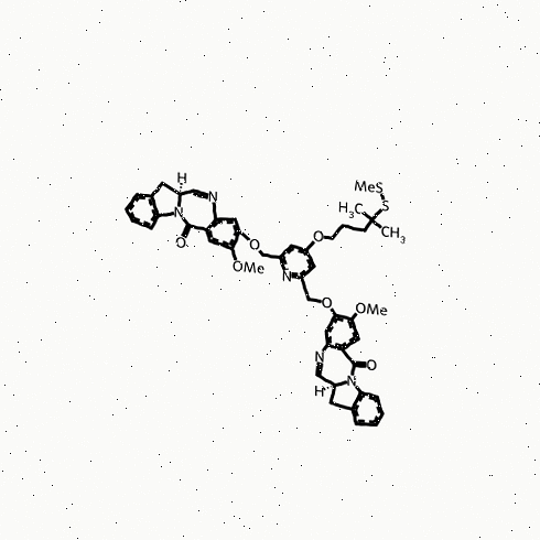 COc1cc2c(cc1OCc1cc(OCCCC(C)(C)SSC)cc(COc3cc4c(cc3OC)C(=O)N3c5ccccc5C[C@H]3C=N4)n1)N=C[C@@H]1Cc3ccccc3N1C2=O